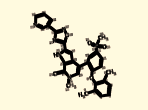 Cc1cccc(C)c1Oc1ccc(S(C)(=O)=O)cc1-c1cn(C)c(=O)c2[nH]c(-c3nc(-c4cccnc4)no3)cc12